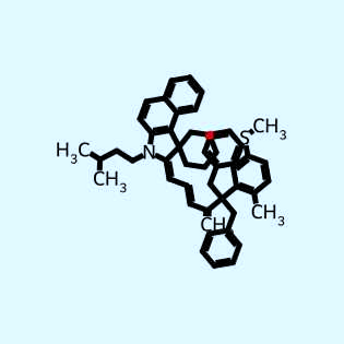 C=C(/C=C/C=C1/N(CCC(C)C)c2ccc3ccccc3c2C12CCCCC2)C(Cc1ccccc1)(Cc1ccccc1)c1cc(SC)ccc1C